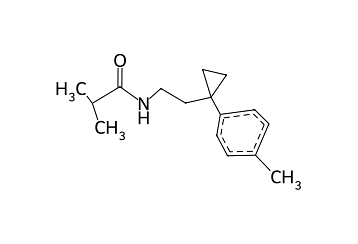 Cc1ccc(C2(CCNC(=O)C(C)C)CC2)cc1